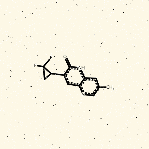 Cc1cnc2cc(C3CC3(F)F)c(=O)[nH]c2c1